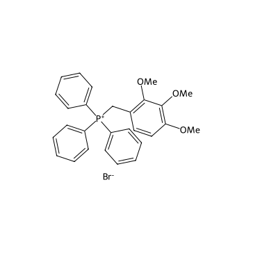 COc1ccc(C[P+](c2ccccc2)(c2ccccc2)c2ccccc2)c(OC)c1OC.[Br-]